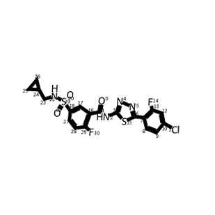 O=C(Nc1nnc(-c2ccc(Cl)cc2F)s1)c1cc(S(=O)(=O)NCC2CC2)ccc1F